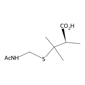 CC(=O)NCSC(C)(C)[C@H](C)C(=O)O